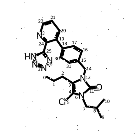 CCCc1c(Cl)n(CC(C)C)c(=O)n1Cc1ccc(-c2cccnc2-c2nnn[nH]2)cc1